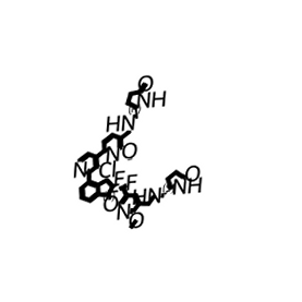 COc1nc(-c2ccnc(-c3cccc4c3CC[C@@H]4Oc3nc(OC)c(CNC[C@@H]4CCC(=O)N4)cc3C(F)(F)F)c2Cl)ccc1CNC[C@H]1CCC(=O)N1